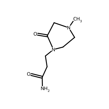 CN1CCN(CCC(N)=O)C(=O)C1